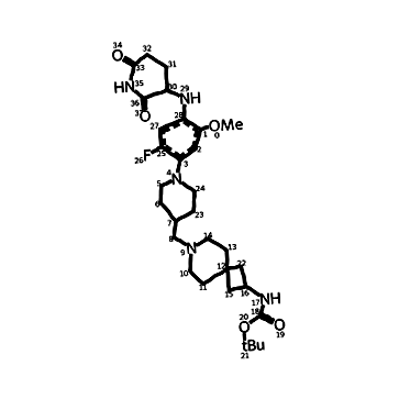 COc1cc(N2CCC(CN3CCC4(CC3)CC(NC(=O)OC(C)(C)C)C4)CC2)c(F)cc1NC1CCC(=O)NC1=O